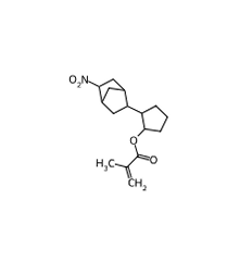 C=C(C)C(=O)OC1CCCC1C1CC2CC1CC2[N+](=O)[O-]